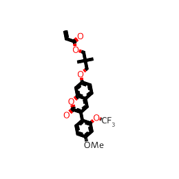 C=CC(=O)OCC(C)(C)COc1ccc2cc(-c3ccc(OC)cc3OC(F)(F)F)c(=O)oc2c1